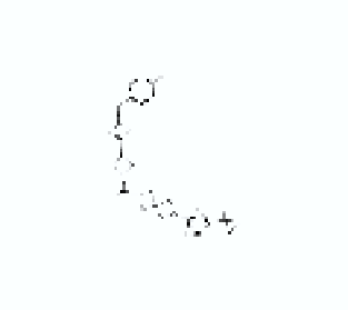 O=C(N1CC(C23CC(Cc4ccc(C(F)(F)F)nc4)(C2)C3)C1)N1CC2(CC(c3nc(C4(O)CC4)n[nH]3)C2)C1